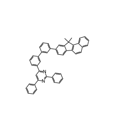 CC1(C)c2cc(-c3cccc(-c4cccc(-c5cc(-c6ccccc6)nc(-c6ccccc6)n5)c4)c3)ccc2-c2ccc3ccccc3c21